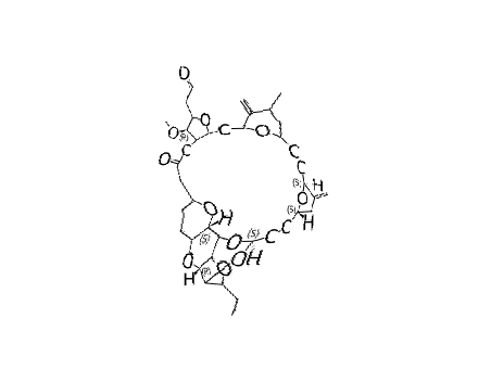 C=C1C(C)CC2CC[C@@H]3O[C@@H](CC[C@H]4OC5C(CC)OC6C(O4)[C@H]4OC(CCC4O[C@@H]56)CC(=O)CC4C(CC1O2)OC(CC=O)[C@@H]4OC)CC3=C